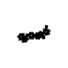 O=C1c2ccc(C3CCN(Cc4cccc5c4CCCC5)CC3)cc2CN1C1CCCNC1